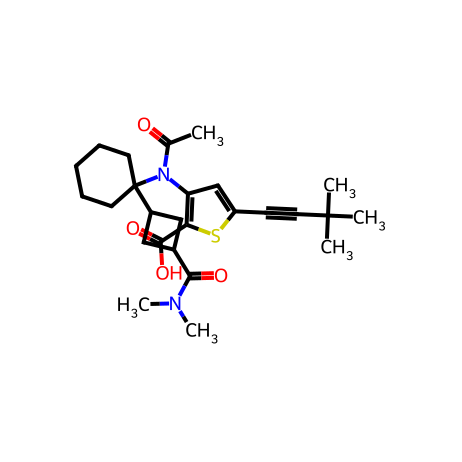 CC(=O)N(c1cc(C#CC(C)(C)C)sc1C(=O)O)C1(C2CC(C(=O)N(C)C)C2)CCCCC1